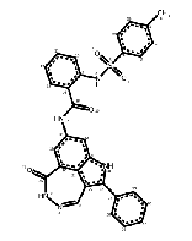 Cc1ccc(S(=O)(=O)Nc2ccccc2C(=O)Nc2cc3c4c(c(-c5ccccc5)[nH]c4c2)C=NNC3=O)cc1